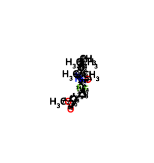 CCOc1ccc(-c2cccc(C(F)(F)CC/C(=N/N(C)Cc3ccc(C(C)(C)C)cc3)N(C=O)CC)c2)cc1CC=O